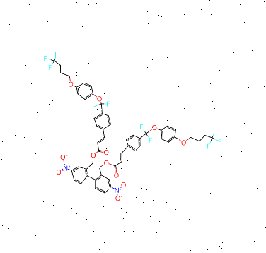 O=C(/C=C/c1ccc(C(F)(F)Oc2ccc(OCCCC(F)(F)F)cc2)cc1)OCc1cc([N+](=O)[O-])ccc1-c1ccc([N+](=O)[O-])cc1COC(=O)/C=C/c1ccc(C(F)(F)Oc2ccc(OCCCC(F)(F)F)cc2)cc1